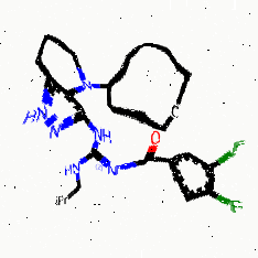 CC(C)CN/C(=N/C(=O)c1ccc(F)c(F)c1)Nc1n[nH]c2c1N(C1CCCCCCCC1)CCC2